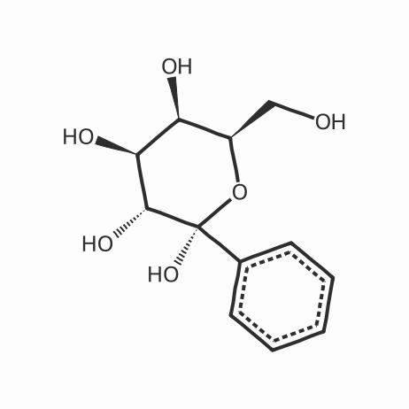 OC[C@H]1O[C@@](O)(c2ccccc2)[C@H](O)[C@@H](O)[C@H]1O